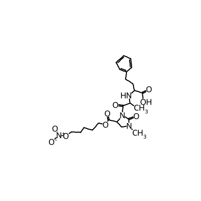 CC(NC(CCc1ccccc1)C(=O)O)C(=O)N1C(=O)N(C)CC1C(=O)OCCCCCO[N+](=O)[O-]